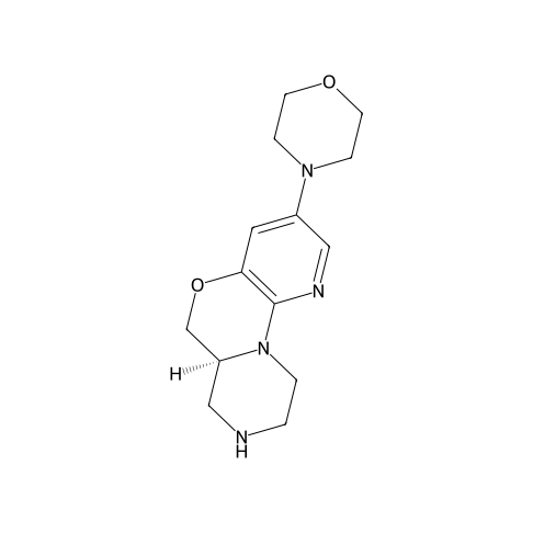 c1nc2c(cc1N1CCOCC1)OC[C@@H]1CNCCN21